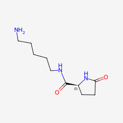 NCCCCCNC(=O)[C@@H]1CCC(=O)N1